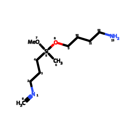 C=NCCC[Si](C)(OC)OCCCCN